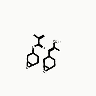 C=C(C)C(=O)OC1CCC2OC2C1.CC(=CC1CCC2OC2C1)C(=O)O